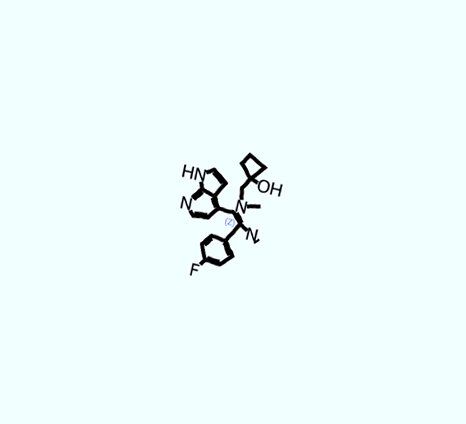 C=N/C(=C(/c1ccnc2[nH]ccc12)N(C)CC1(O)CCC1)c1ccc(F)cc1